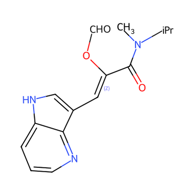 CC(C)N(C)C(=O)/C(=C/c1c[nH]c2cccnc12)OC=O